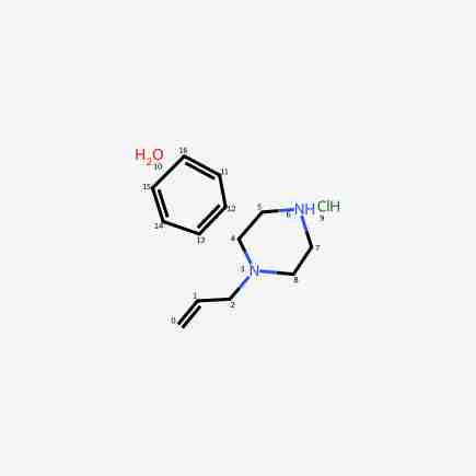 C=CCN1CCNCC1.Cl.O.c1ccccc1